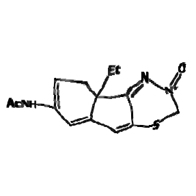 CCC12CC=C(NC(C)=O)C=C1C=C1SC[N+](=O)N=C12